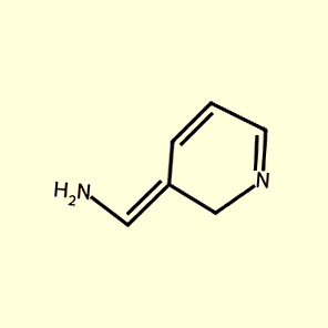 NC=C1C=CC=NC1